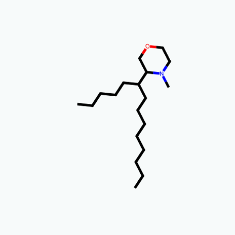 CCCCCCCCC(CCCCC)C1COCCN1C